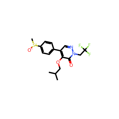 CC(C)COc1c(-c2ccc([S+](C)[O-])cc2)cnn(CC(F)(F)F)c1=O